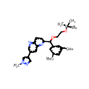 COc1cc(OC)cc(C(OCCO[Si](C)(C)C(C)(C)C)c2ccc3ncc(-c4cnn(C)c4)cc3n2)c1